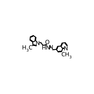 Cc1cn(CCC(=O)NN=Cc2cc(C)c3ncccc3c2)c2ccccc12